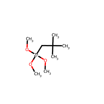 C[O][Zr]([CH2]C(C)(C)C)([O]C)[O]C